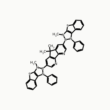 CN1B(c2cnc3c(c2)C(C)(C)c2cc(B4N(C)c5sc6ccccc6c5N4c4ccccc4)cnc2-3)N(c2ccccc2)c2c1sc1ccccc21